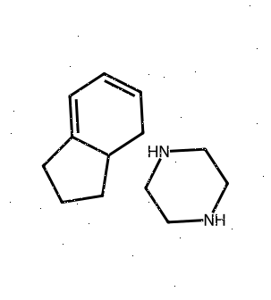 C1=CCC2CCCC2=C1.C1CNCCN1